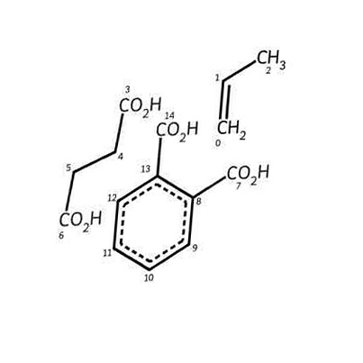 C=CC.O=C(O)CCC(=O)O.O=C(O)c1ccccc1C(=O)O